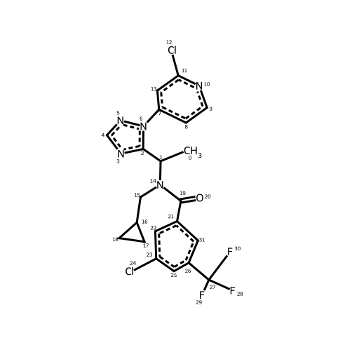 CC(c1ncnn1-c1ccnc(Cl)c1)N(CC1CC1)C(=O)c1cc(Cl)cc(C(F)(F)F)c1